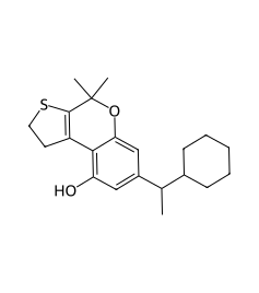 CC(c1cc(O)c2c(c1)OC(C)(C)C1=C2CCS1)C1CCCCC1